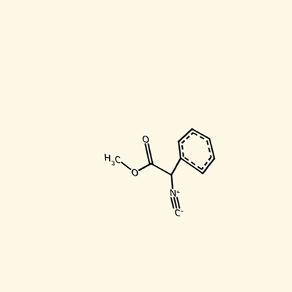 [C-]#[N+]C(C(=O)OC)c1ccccc1